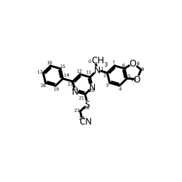 CN(c1ccc2c(c1)OCO2)c1cc(-c2ccccc2)nc(SCC#N)n1